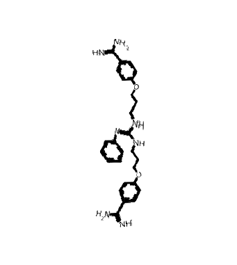 N=C(N)c1ccc(OCCCNC(=Nc2ccccc2)NCCCOc2ccc(C(=N)N)cc2)cc1